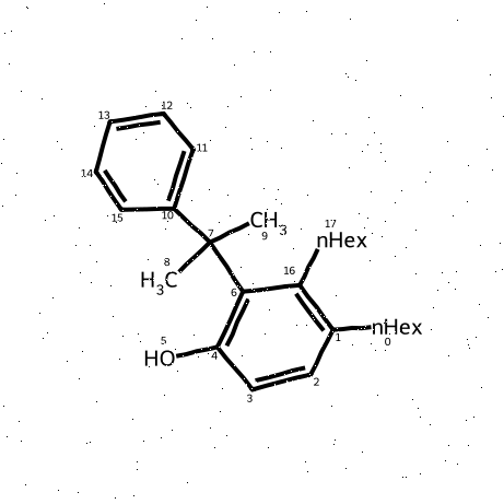 CCCCCCc1ccc(O)c(C(C)(C)c2ccccc2)c1CCCCCC